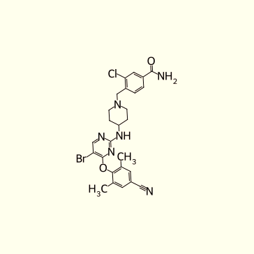 Cc1cc(C#N)cc(C)c1Oc1nc(NC2CCN(Cc3ccc(C(N)=O)cc3Cl)CC2)ncc1Br